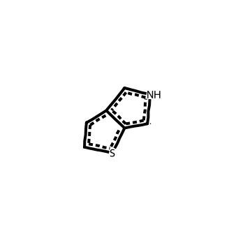 [c]1[nH]cc2ccsc12